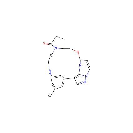 CC(=O)c1cc2cc(c1)-c1cnn3ccc(nc13)OCC1CCC(=O)N1CCN2